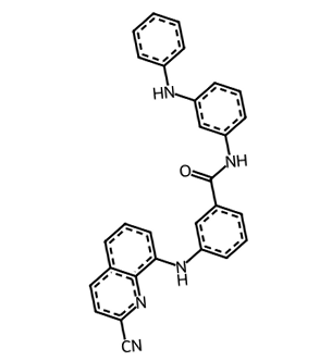 N#Cc1ccc2cccc(Nc3cccc(C(=O)Nc4cccc(Nc5ccccc5)c4)c3)c2n1